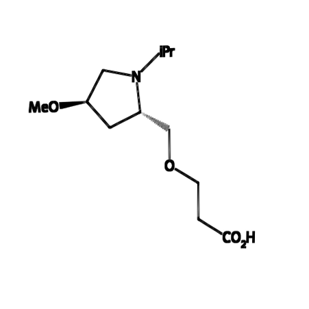 CO[C@@H]1C[C@@H](COCCC(=O)O)N(C(C)C)C1